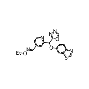 CCO/N=C/c1ccnc(C(Oc2ccc3ncsc3c2)c2nnco2)c1